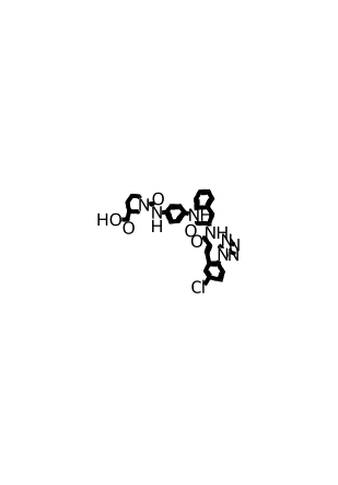 O=C(C=Cc1cc(Cl)ccc1-n1cnnn1)NC(Cc1ccccc1)C(=O)Nc1ccc(NC(=O)N2CCCC(C(=O)O)C2)cc1